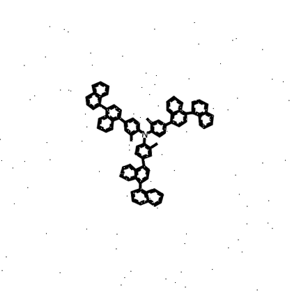 Cc1cc(-c2ccc(-c3cccc4ccccc34)c3ccccc23)ccc1N(c1ccc(-c2ccc(-c3cccc4ccccc34)c3ccccc23)cc1C)c1ccc(-c2ccc(-c3cccc4ccccc34)c3ccccc23)cc1C